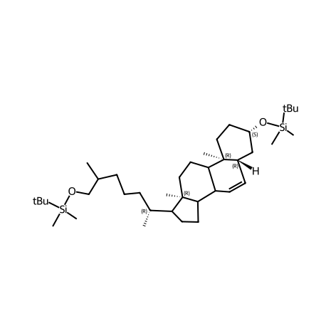 CC(CCC[C@@H](C)C1CCC2C3C=C[C@H]4C[C@@H](O[Si](C)(C)C(C)(C)C)CC[C@]4(C)C3CC[C@@]21C)CO[Si](C)(C)C(C)(C)C